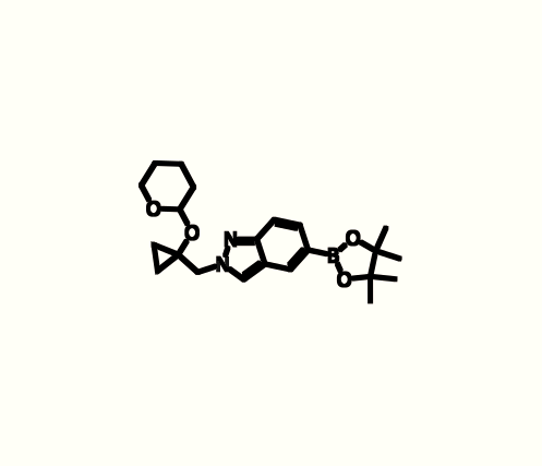 CC1(C)OB(c2ccc3nn(CC4(OC5CCCCO5)CC4)cc3c2)OC1(C)C